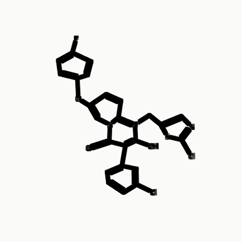 O=c1c(-c2cccc(Cl)c2)c(O)[n+](Cc2cnc(Cl)s2)c2ccc(Oc3ccc(F)cc3)cn12